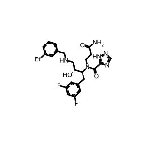 CCc1cccc(CNC[C@@H](O)[C@H](Cc2cc(F)cc(F)c2)N(CCC(N)=O)C(=O)c2ncn[nH]2)c1